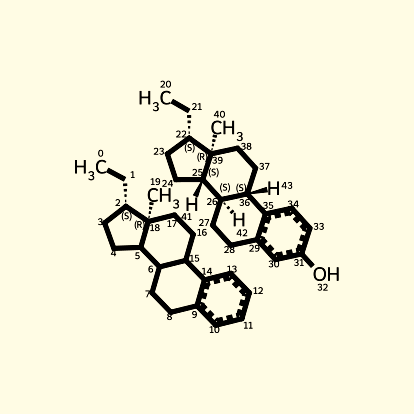 CC[C@H]1CCC2C3CCc4ccccc4C3CC[C@@]21C.CC[C@H]1CC[C@H]2[C@@H]3CCc4cc(O)ccc4[C@H]3CC[C@]12C